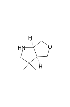 CC1(C)CN[C@H]2COC[C@H]21